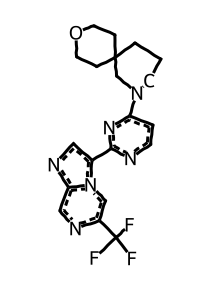 FC(F)(F)c1cn2c(-c3nccc(N4CCCC5(CCOCC5)C4)n3)cnc2cn1